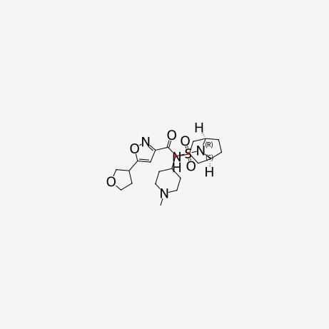 CN1CCC(CS(=O)(=O)N2[C@@H]3CC[C@H]2CC(NC(=O)c2cc(C4CCOC4)on2)C3)CC1